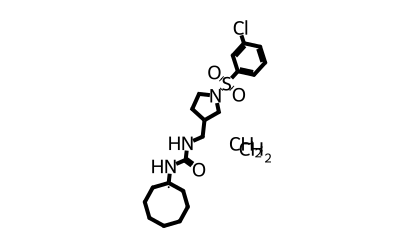 O=C(NCC1CCN(S(=O)(=O)c2cccc(Cl)c2)C1)N[C]1CCCCCCC1.[CH2].[CH2]